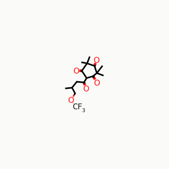 CC(COC(F)(F)F)CC(=O)C1C(=O)C(C)(C)C(=O)C(C)(C)C1=O